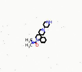 CN(C)C(=O)N1CCC2(CCN(C3CCNCC3)CC2)C2=C1C=CCC2